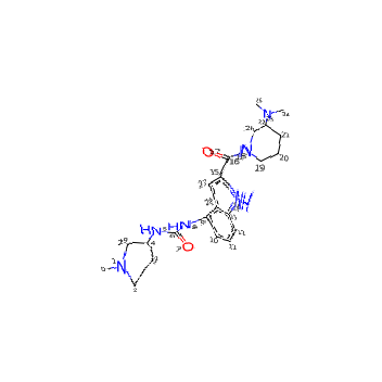 CN1CCC(NC(=O)Nc2cccc3[nH]c(C(=O)N4CCCC(N(C)C)C4)cc23)C1